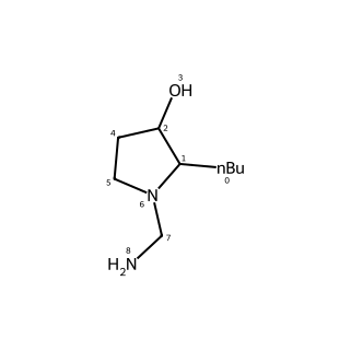 CCCCC1C(O)CCN1CN